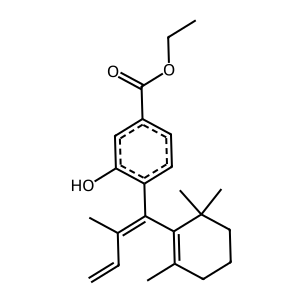 C=C/C(C)=C(\C1=C(C)CCCC1(C)C)c1ccc(C(=O)OCC)cc1O